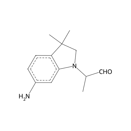 CC(C=O)N1CC(C)(C)c2ccc(N)cc21